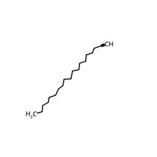 C#CCCCCCCCCCCCCCCCCC